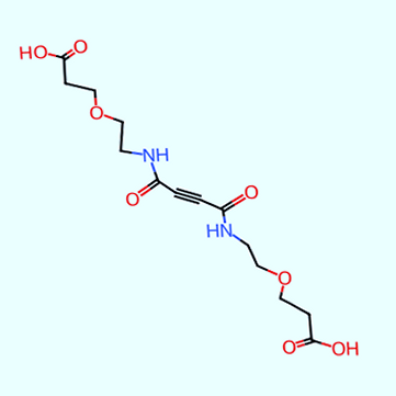 O=C(O)CCOCCNC(=O)C#CC(=O)NCCOCCC(=O)O